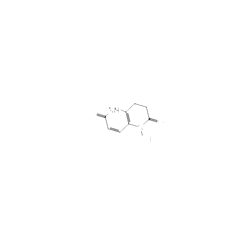 C=C(N)/C=C\C1=C(C)CCC(=O)N1C